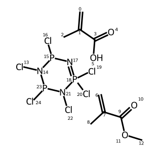 C=C(C)C(=O)O.C=C(C)C(=O)OC.ClN1P(Cl)N=P(Cl)(Cl)N(Cl)P1Cl